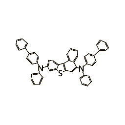 c1ccc(-c2ccc(N(c3ccccc3)c3ccc4c(c3)sc3cc(N(c5ccccc5)c5ccc(-c6ccccc6)cc5)c5ccccc5c34)cc2)cc1